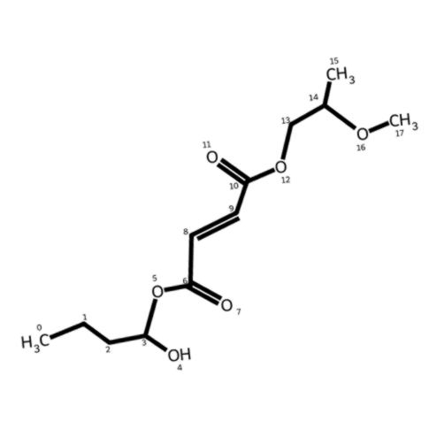 CCCC(O)OC(=O)C=CC(=O)OCC(C)OC